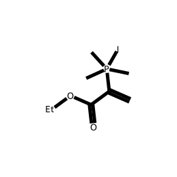 C=C(C(=O)OCC)P(C)(C)(C)I